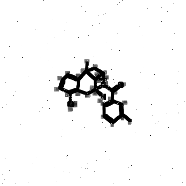 Cc1cccc(C(=O)N2CCC3(C)c4cccc(O)c4C[C@@H]2C3(C)C)c1